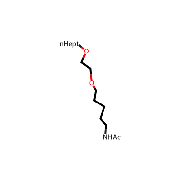 CCCCCCCOCCOCCCCCNC(C)=O